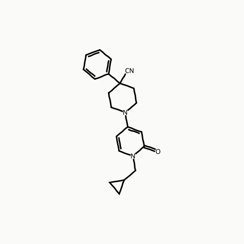 N#CC1(c2ccccc2)CCN(c2ccn(CC3CC3)c(=O)c2)CC1